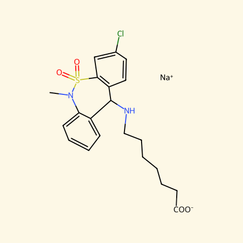 CN1c2ccccc2C(NCCCCCCC(=O)[O-])c2ccc(Cl)cc2S1(=O)=O.[Na+]